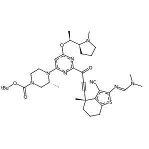 C[C@H](Oc1cc(N2CCN(C(=O)OC(C)(C)C)C[C@H]2C)nc(C(=O)C#C[C@@]2(C)CCCc3sc(/N=C/N(C)C)c(C#N)c32)n1)[C@@H]1CCCN1C